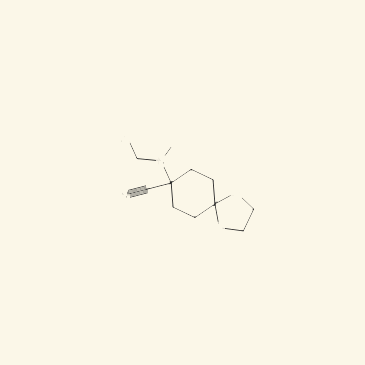 CCN(C)C1(C#N)CCC2(CC1)OCCO2